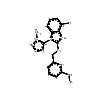 CC(C)Nc1cccc(COc2nc3c(Cl)cccc3n2-c2nnnn2C)n1